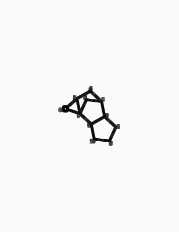 C1CC2C3CC4OC4(C3)C2C1